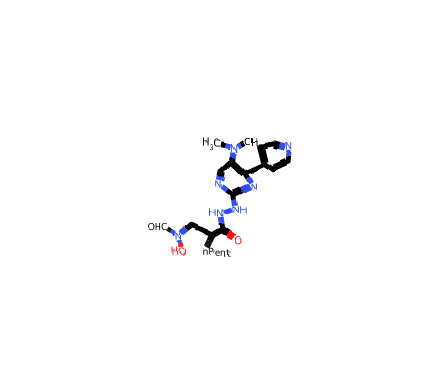 CCCCCC(CN(O)C=O)C(=O)NNc1ncc(N(C)C)c(-c2ccncc2)n1